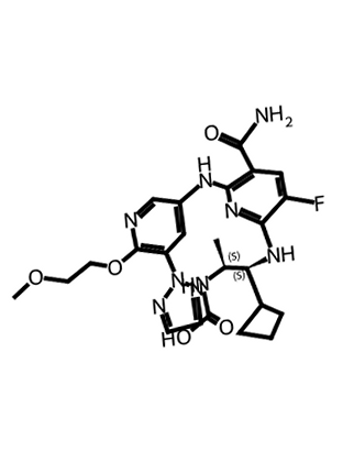 COCCOc1ncc(Nc2nc(N[C@@H](C3CCC3)[C@H](C)NC(=O)O)c(F)cc2C(N)=O)cc1-n1nccn1